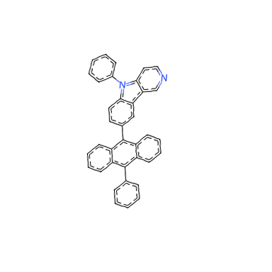 c1ccc(-c2c3ccccc3c(-c3ccc4c(c3)c3cnccc3n4-c3ccccc3)c3ccccc23)cc1